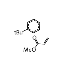 C=CC(=O)OC.CC(C)(C)c1ccccc1